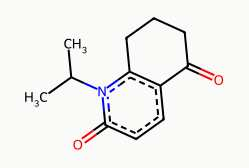 CC(C)n1c2c(ccc1=O)C(=O)CCC2